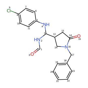 O=CNC(Nc1ccc(Cl)cc1)C1CC(=O)N(Cc2ccccc2)C1